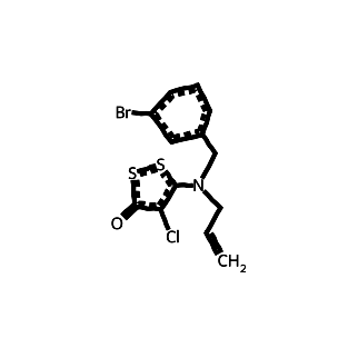 C=CCN(Cc1cccc(Br)c1)c1ssc(=O)c1Cl